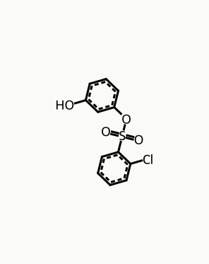 O=S(=O)(Oc1cccc(O)c1)c1ccccc1Cl